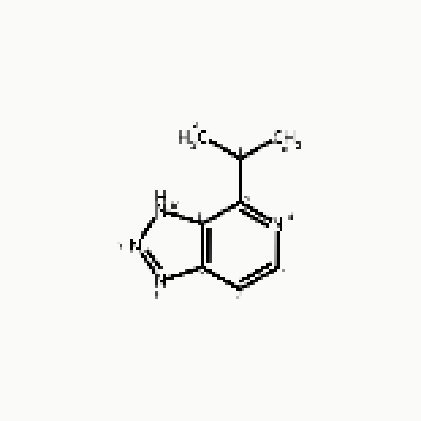 CC(C)c1nccc2nn[nH]c12